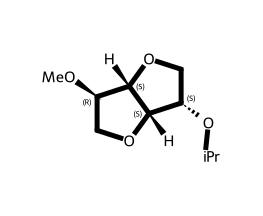 CO[C@@H]1CO[C@@H]2[C@H]1OC[C@@H]2OC(C)C